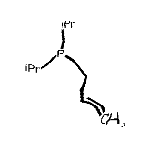 C=CCP(C(C)C)C(C)C